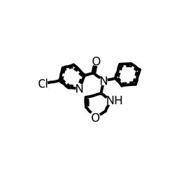 O=C(c1ccc(Cl)cn1)N(c1ccccc1)C1C=COCN1